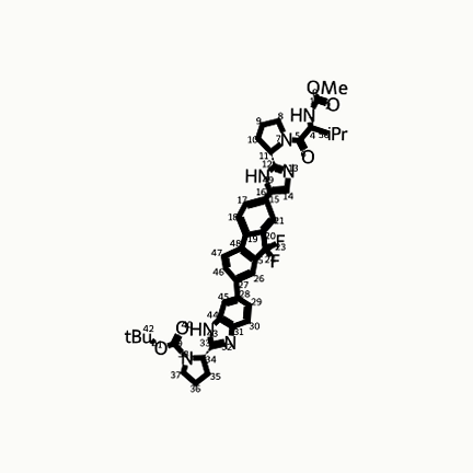 COC(=O)NC(C(=O)N1CCC[C@H]1c1ncc(-c2ccc3c(c2)C(F)(F)c2cc(-c4ccc5nc([C@@H]6CCCN6C(=O)OC(C)(C)C)[nH]c5c4)ccc2-3)[nH]1)C(C)C